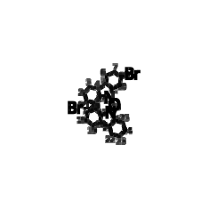 Brc1ccc2c3ccc(Br)cc3n(On3c4ccccc4c4ccccc43)c2c1